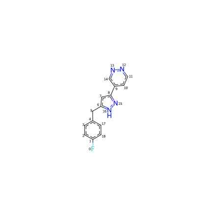 Fc1ccc(Cc2cc(-c3ccnnc3)n[nH]2)cc1